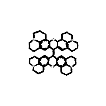 C1=C2C(=C3c4cc5c6c(c4Oc4c3cc3c7c4CCCN7CCC3)CCCN6CCC5)c3cc4c5c(c3OC2C2CCCN3CCCC1=C23)CCCN5CCC4